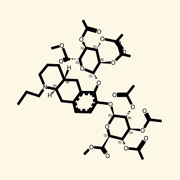 CCCN1CCC[C@@H]2Cc3c(ccc(O[C@@H]4O[C@H](C(=O)OC)[C@@H](OC(C)=O)[C@H](OC(C)=O)[C@H]4OC(C)=O)c3O[C@@H]3O[C@H](C(=O)OC)[C@@H](OC(C)=O)[C@H](OC(C)=O)[C@H]3OC(C)=O)C[C@H]21